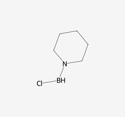 ClBN1CCCCC1